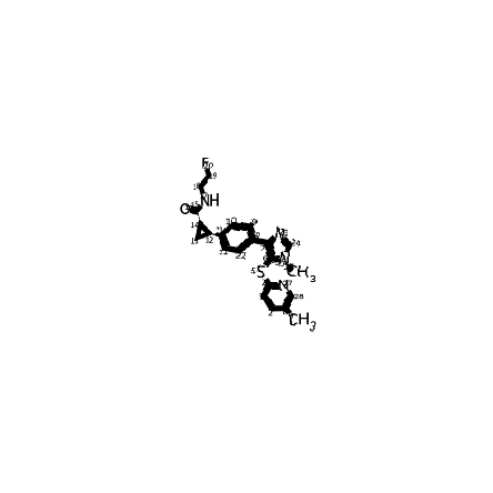 Cc1ccc(Sc2c(-c3ccc([C@H]4C[C@@H]4C(=O)NCCF)cc3)ncn2C)nc1